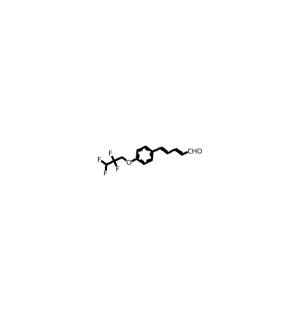 O=CC=CC=Cc1ccc(OCC(F)(F)C(F)F)cc1